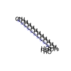 CC/C(C)=C/CC/C(C)=C/CC/C(C)=C/CC/C(C)=C/CC/C(C)=C/CC/C(C)=C/CC/C(C)=C/CC/C(C)=C/CC/C(C)=C/CC/C(C)=C/CC1=C(C)C(O)C(CO)=C(CO)C1O